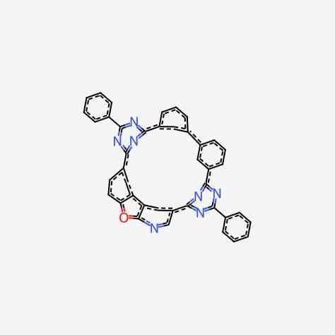 c1ccc(-c2nc3nc(n2)c2ccc4oc5ncc(cc5c4c2)c2nc(-c4ccccc4)nc(n2)c2cccc(c2)c2cccc3c2)cc1